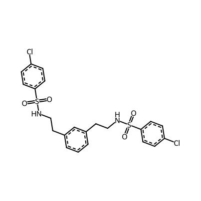 O=S(=O)(NCCc1cccc(CCNS(=O)(=O)c2ccc(Cl)cc2)c1)c1ccc(Cl)cc1